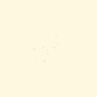 C[C@]12c3c(nc(-c4nn(Cc5ccccc5F)c5ncc(F)cc45)nc3NC1O)NCC2(F)F